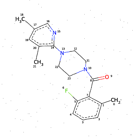 [CH2]c1cccc(F)c1C(=O)N1CCN(c2ncc(C)cc2C)CC1